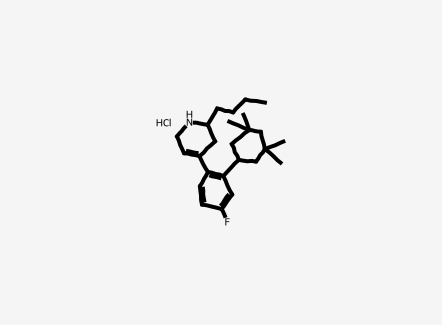 CCCCC1CC(c2ccc(F)cc2C2CC(C)(C)CC(C)(C)C2)=CCN1.Cl